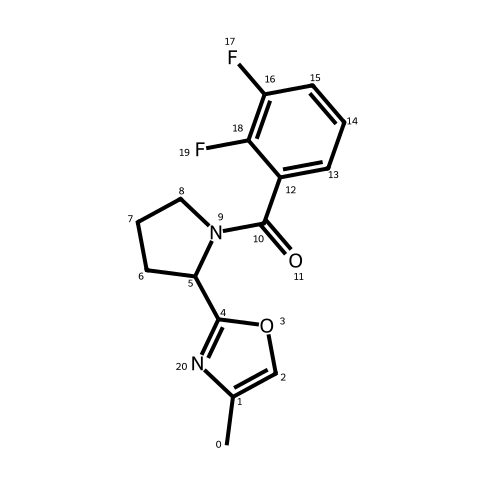 Cc1coc(C2CCCN2C(=O)c2cccc(F)c2F)n1